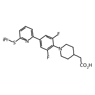 CC(C)Sc1cccc(-c2cc(F)c(N3CCC(CC(=O)O)CC3)c(F)c2)n1